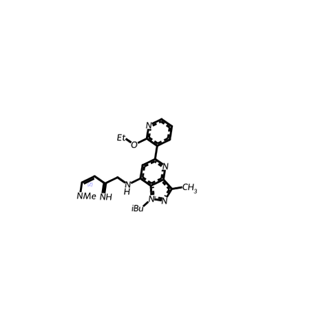 CCOc1ncccc1-c1cc(NCC(=N)/C=C\NC)c2c(n1)c(C)nn2C(C)CC